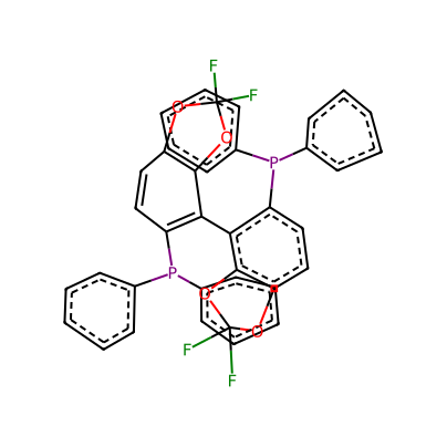 FC1(F)Oc2ccc(P(c3ccccc3)c3ccccc3)c(C3=C(P(c4ccccc4)c4ccccc4)C=CC4OC(F)(F)OC34)c2O1